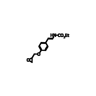 CCOC(=O)NC=Cc1ccc(OCC2CO2)cc1